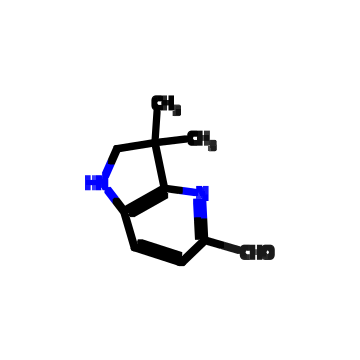 CC1(C)CNc2ccc(C=O)nc21